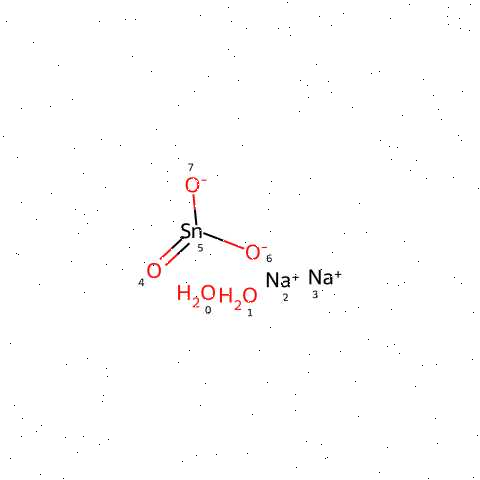 O.O.[Na+].[Na+].[O]=[Sn]([O-])[O-]